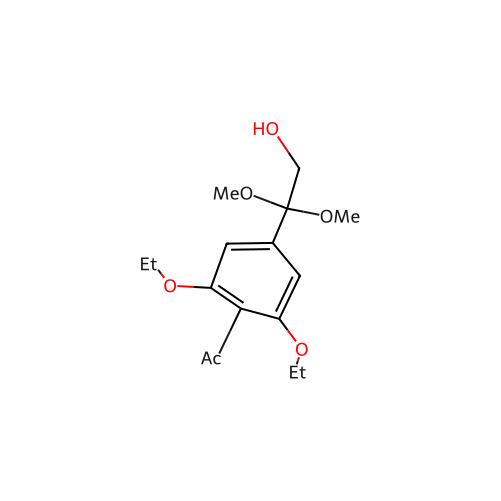 CCOc1cc(C(CO)(OC)OC)cc(OCC)c1C(C)=O